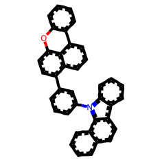 c1cc(-c2ccc3c4c(cccc24)-c2ccccc2O3)cc(-n2c3ccccc3c3ccc4ccccc4c32)c1